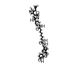 Cn1ncc(-c2nc(NC3CCN(NC(=O)CCCCCCNC(=O)NCc4scc5c4CN(C4CCC(=O)NC4=O)C5=O)CC3)ncc2Cl)c1CC1CC1